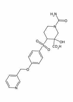 NC(=O)N1CCC(S(=O)(=O)c2ccc(OCc3cccnc3)cc2)C(O)(C(=O)O)C1